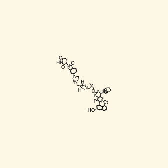 CCc1cccc2cc(O)cc(-c3ncc4c(N5CC6CCC(C5)N6)nc(OCC5(CN6C[C@@H]7C(CN8CCN(c9ccc%10c(c9)CN([C@H]9CCC(=O)NC9=O)C%10=O)CC8)[C@@H]7C6)CC5)nc4c3F)c12